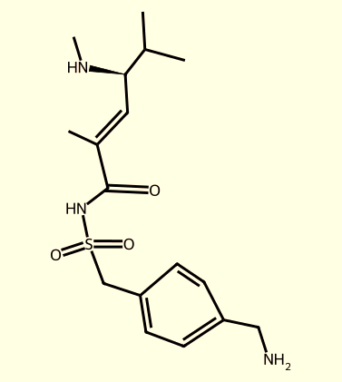 CN[C@H](/C=C(\C)C(=O)NS(=O)(=O)Cc1ccc(CN)cc1)C(C)C